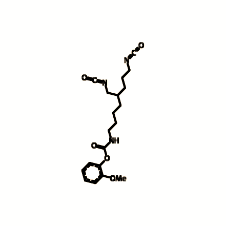 COc1ccccc1OC(=O)NCCCCC(CCCN=C=O)CN=C=O